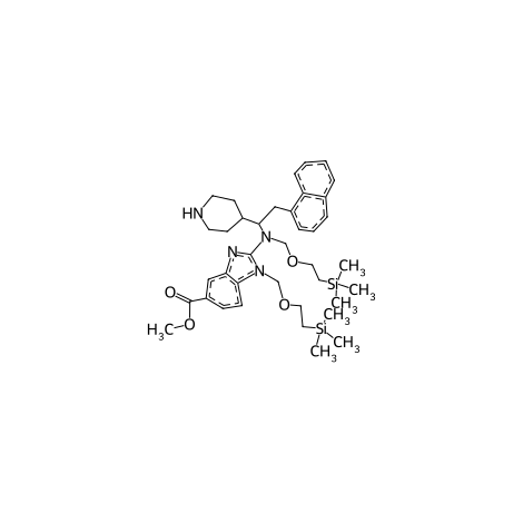 COC(=O)c1ccc2c(c1)nc(N(COCC[Si](C)(C)C)C(Cc1cccc3ccccc13)C1CCNCC1)n2COCC[Si](C)(C)C